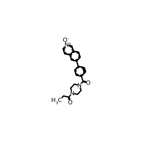 CCC(=O)N1CCN(C(=O)c2c#cc(-c3ccc4c[n+]([O-])ccc4c3)cc2)CC1